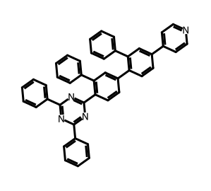 c1ccc(-c2nc(-c3ccccc3)nc(-c3ccc(-c4ccc(-c5ccncc5)cc4-c4ccccc4)cc3-c3ccccc3)n2)cc1